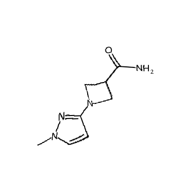 Cn1ccc(N2CC(C(N)=O)C2)n1